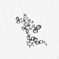 COC(=O)c1ccccc1C(=O)OCCOC(=O)C(CCC(C)CCC(=O)Cl)C(C)CCC(=O)Cl